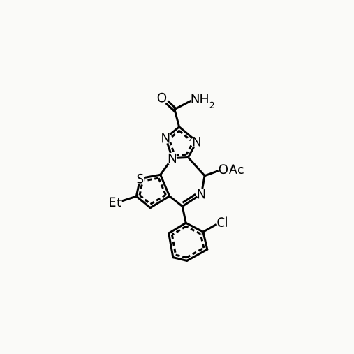 CCc1cc2c(s1)-n1nc(C(N)=O)nc1C(OC(C)=O)N=C2c1ccccc1Cl